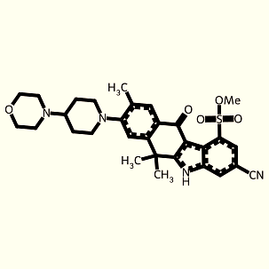 COS(=O)(=O)c1cc(C#N)cc2[nH]c3c(c12)C(=O)c1cc(C)c(N2CCC(N4CCOCC4)CC2)cc1C3(C)C